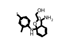 Cc1cc(I)ccc1NC1(OCCO)C=CC=CC1C(N)=O